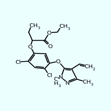 C=Cc1c(C)nn(C)c1Oc1cc(OC(CC)C(=O)OCC)c(Cl)cc1Cl